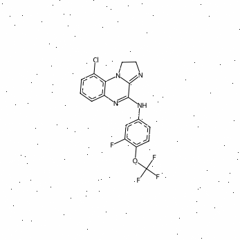 Fc1cc(NC2=Nc3cccc(Cl)c3N3CCN=C23)ccc1OC(F)(F)F